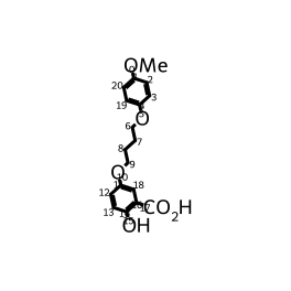 COc1ccc(OCCCCOc2ccc(O)c(C(=O)O)c2)cc1